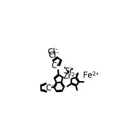 CC1=Cc2c(-[c-]3cccc3)cccc2[CH]1[Zr+2]([CH]1C(C)=C(C)C(C)=C1C)=[Si](C)C.[Cl-].[Cl-].[Fe+2].c1cc[cH-]c1